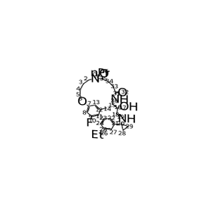 CCCN1CCCCOc2cc(F)cc(c2)C[C@@H]([C@H](O)CNC2(c3cccc(CC)c3)CC2)NC(=O)CCC1=O